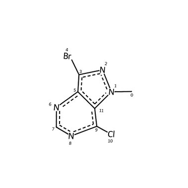 Cn1nc(Br)c2ncnc(Cl)c21